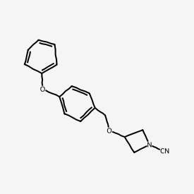 N#CN1CC(OCc2ccc(Oc3ccccc3)cc2)C1